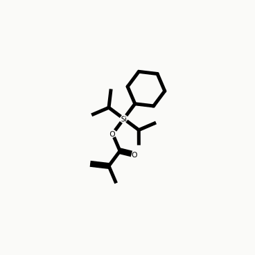 C=C(C)C(=O)O[Si](C(C)C)(C(C)C)C1CCCCC1